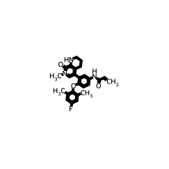 C=CC(=O)Nc1ccc(Oc2c(C)cc(F)cc2C)c(-c2cn(C)c(=O)c3c2CCCN3)c1